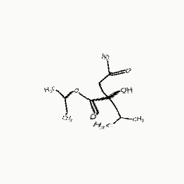 CC(C)OC(=O)C(O)(CC(=O)O)C(C)C